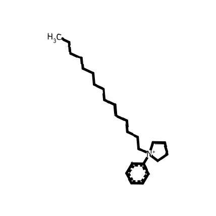 CCCCCCCCCCCCCCC[N+]1(c2ccccc2)CCCC1